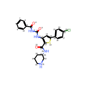 O=C(NC(=O)c1ccccc1)Nc1cc(-c2ccc(Cl)cc2)sc1C(=O)N[C@H]1CCCNC1